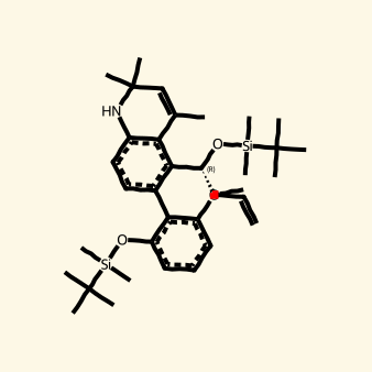 C=CC[C@@H](O[Si](C)(C)C(C)(C)C)c1c(-c2c(OC)cccc2O[Si](C)(C)C(C)(C)C)ccc2c1C(C)=CC(C)(C)N2